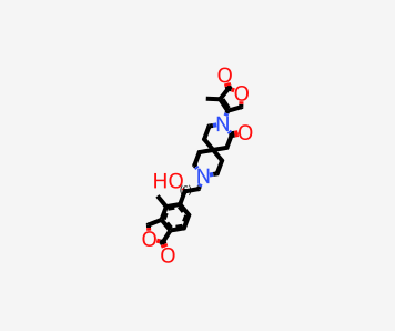 CC1=C(N2CCC3(CCN(C[C@@H](O)c4ccc5c(c4C)COC5=O)CC3)CC2=O)COC1=O